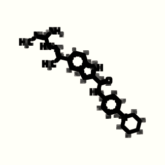 C/N=C(/N)N/N=C(\C)c1ccc2[nH]c(C(=O)Nc3ccc(N4CCCCC4)cc3)cc2c1